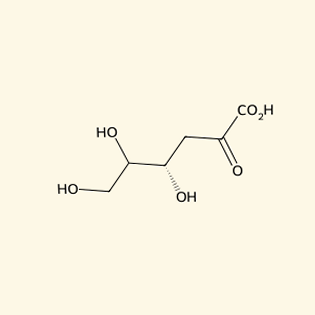 O=C(O)C(=O)C[C@H](O)C(O)CO